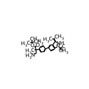 CC(=O)N1NC(=C(C)C)c2cc(-c3ccc(C(C)(CN)C(=O)OC(C)(C)C)cc3)ccc21